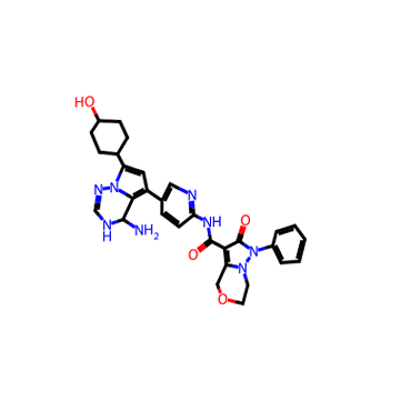 NC1NC=Nn2c(C3CCC(O)CC3)cc(-c3ccc(NC(=O)c4c5n(n(-c6ccccc6)c4=O)CCOC5)nc3)c21